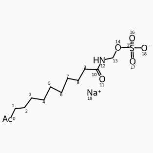 CC(=O)CCCCCCCCCC(=O)NCOS(=O)(=O)[O-].[Na+]